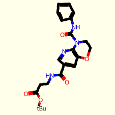 CC(C)(C)OC(=O)CCNC(=O)c1cnc2c(c1)OCCN2C(=O)Nc1ccccc1